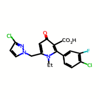 CCn1c(Cn2ccc(Cl)n2)cc(=O)c(C(=O)O)c1-c1ccc(Cl)c(F)c1